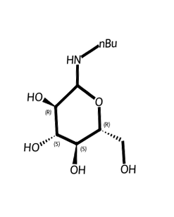 CCCCNC1O[C@H](CO)[C@@H](O)[C@H](O)[C@H]1O